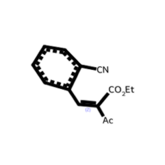 CCOC(=O)/C(=C\c1ccccc1C#N)C(C)=O